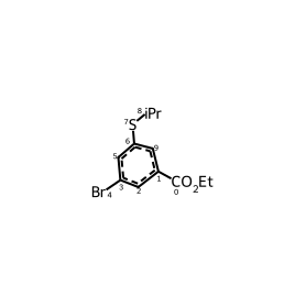 CCOC(=O)c1cc(Br)cc(SC(C)C)c1